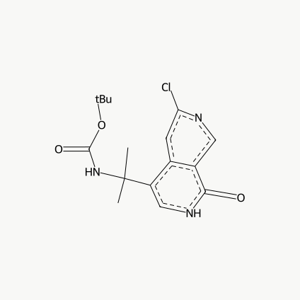 CC(C)(C)OC(=O)NC(C)(C)c1c[nH]c(=O)c2cnc(Cl)cc12